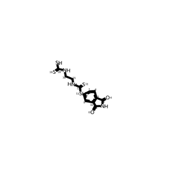 O=C1NC(=O)c2ccccc21.S=C(S)NCCNC(=S)S